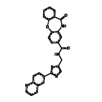 O=C(NCc1cnc(-c2ccc3ncccc3c2)s1)c1ccc2c(c1)NC(=O)c1ccccc1O2